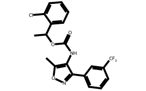 Cc1onc(-c2cccc(C(F)(F)F)c2)c1NC(=O)OC(C)c1ccccc1Cl